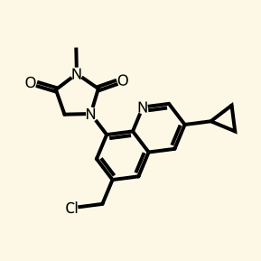 CN1C(=O)CN(c2cc(CCl)cc3cc(C4CC4)cnc23)C1=O